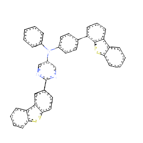 c1ccc(N(c2ccc(-c3cccc4c3sc3ccccc34)cc2)c2cnc(-c3ccc4sc5ccccc5c4c3)nc2)cc1